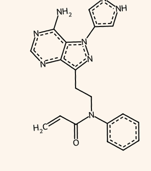 C=CC(=O)N(CCc1nn(-c2cn[nH]c2)c2c(N)ncnc12)c1ccccc1